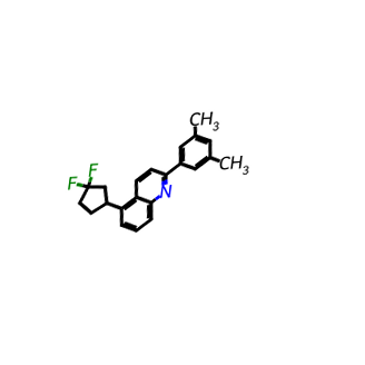 Cc1cc(C)cc(-c2ccc3c(C4CCC(F)(F)C4)cccc3n2)c1